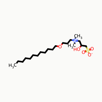 CCCCCCCCCCCCOCCC[N+](C)(C)CC(O)CS(=O)(=O)[O-]